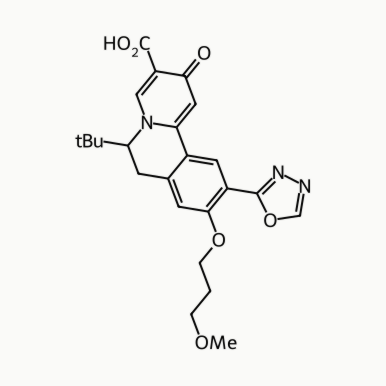 COCCCOc1cc2c(cc1-c1nnco1)-c1cc(=O)c(C(=O)O)cn1C(C(C)(C)C)C2